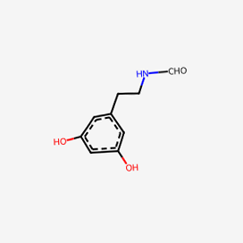 O=CNCCc1cc(O)cc(O)c1